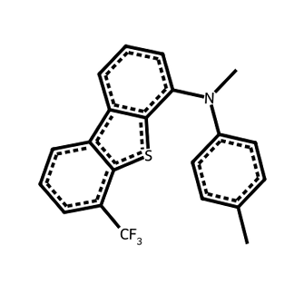 Cc1ccc(N(C)c2cccc3c2sc2c(C(F)(F)F)cccc23)cc1